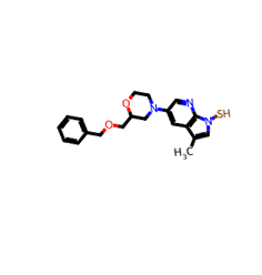 Cc1cn(S)c2ncc(N3CCOC(COCc4ccccc4)C3)cc12